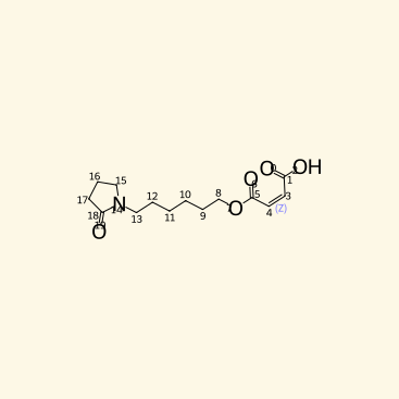 O=C(O)/C=C\C(=O)OCCCCCCN1CCCC1=O